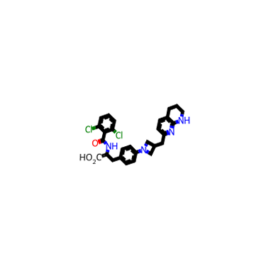 O=C(NC(Cc1ccc(N2CC(Cc3ccc4c(n3)NCCC4)C2)cc1)C(=O)O)c1c(Cl)cccc1Cl